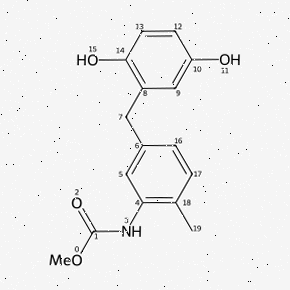 COC(=O)Nc1cc(Cc2cc(O)ccc2O)ccc1C